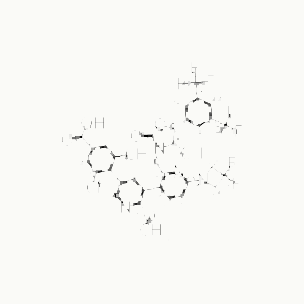 COc1ncc(-c2c(C)cc(C(=O)O)cc2C)cc1-c1ccc(N2CC(F)(F)C2)nc1CN1C(=O)O[C@H](c2cc(C(F)(F)F)cc(C(F)(F)F)c2)[C@@H]1C